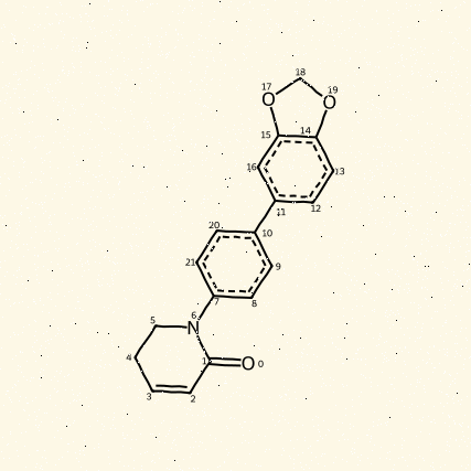 O=C1C=CCCN1c1ccc(-c2ccc3c(c2)OCO3)cc1